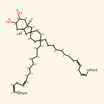 CCCCC/C=C\C/C=C\CCCCCCCCC1(CCCCCCCC/C=C\C/C=C\CCCCC)CCC2(CC1)C[C@H]1C[C@@H](O)[C@@H](O)C[C@@H]1C2